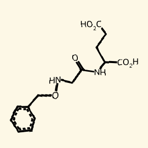 O=C(O)CCC(NC(=O)CNOCc1ccccc1)C(=O)O